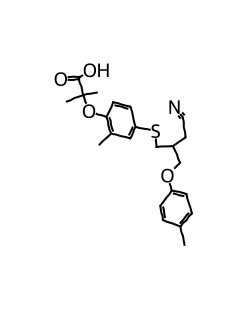 Cc1ccc(OCC(CC#N)CSc2ccc(OC(C)(C)C(=O)O)c(C)c2)cc1